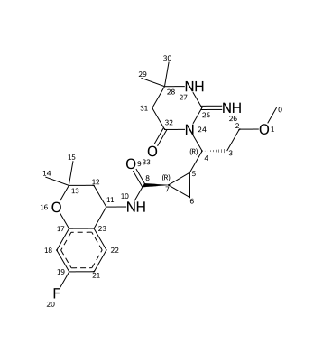 COCC[C@H](C1C[C@H]1C(=O)NC1CC(C)(C)Oc2cc(F)ccc21)N1C(=N)NC(C)(C)CC1=O